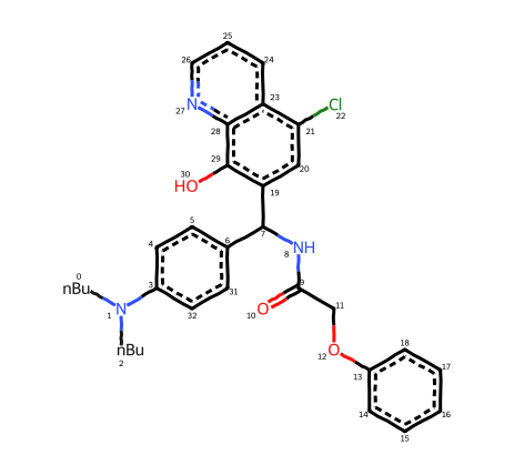 CCCCN(CCCC)c1ccc(C(NC(=O)COc2ccccc2)c2cc(Cl)c3cccnc3c2O)cc1